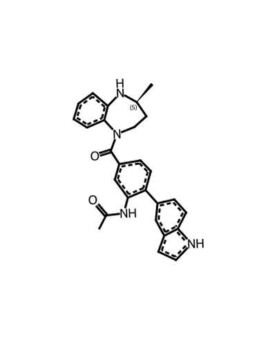 CC(=O)Nc1cc(C(=O)N2CC[C@H](C)Nc3ccccc32)ccc1-c1ccc2[nH]ccc2c1